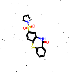 O=C1Nc2cc(S(=O)(=O)N3CCCC3)ccc2Sc2ccccc21